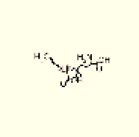 CC=CSC[C@H](NC(=O)CC[C@H](N)C(=O)O)C(=O)O